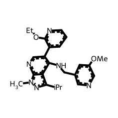 CCOc1ncccc1-c1cnc2c(c(C(C)C)nn2C)c1NCc1cncc(OC)c1